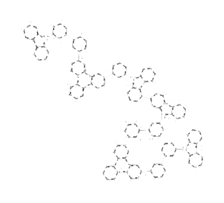 c1cc(-c2cccc(-n3c4ccccc4c4ccccc43)c2)cc(-c2ccc3c4ccccc4c4ccc(-c5cccc(-c6cccc(-n7c8ccccc8c8ccc(-c9cccc%10c9c9ccccc9n%10-c9cccc(-c%10ccc%11c%12ccccc%12c%12ccc(-c%13cccc(-c%14cccc(-n%15c%16ccccc%16c%16ccccc%16%15)c%14)c%13)cc%12c%11c%10)c9)cc87)c6)c5)cc4c3c2)c1